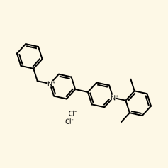 Cc1cccc(C)c1-[n+]1ccc(-c2cc[n+](Cc3ccccc3)cc2)cc1.[Cl-].[Cl-]